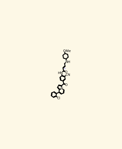 COC1CCC(NC/C=C/C(=O)Nc2ccc(C(=O)c3ccc4c(-c5ccccc5Cl)cccn34)cc2C#N)CC1